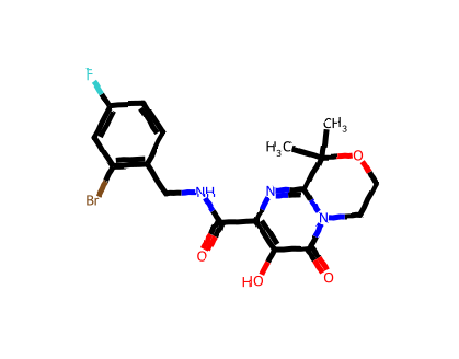 CC1(C)OCCn2c1nc(C(=O)NCc1ccc(F)cc1Br)c(O)c2=O